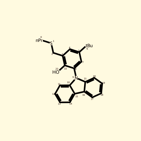 CCCSCc1cc(C(C)(C)C)cc(-n2c3ccccc3c3ccccc32)c1O